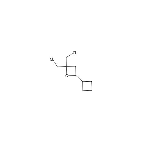 ClCC1(CCl)CC(C2CCC2)O1